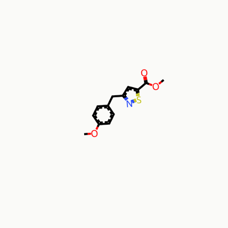 COC(=O)c1cc(Cc2ccc(OC)cc2)ns1